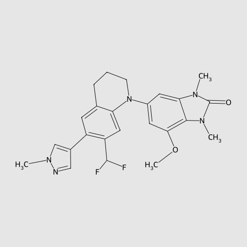 COc1cc(N2CCCc3cc(-c4cnn(C)c4)c(C(F)F)cc32)cc2c1n(C)c(=O)n2C